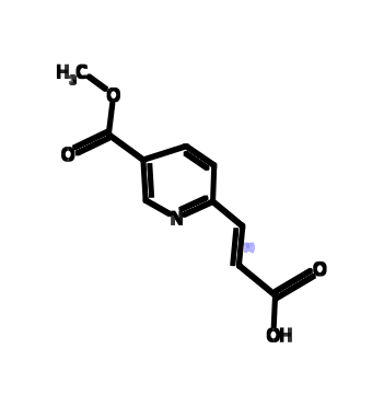 COC(=O)c1ccc(/C=C/C(=O)O)nc1